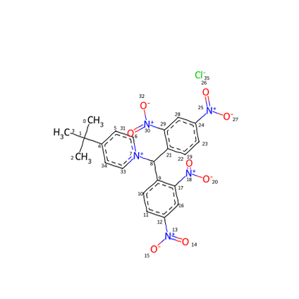 CC(C)(C)c1cc[n+](C(c2ccc([N+](=O)[O-])cc2[N+](=O)[O-])c2ccc([N+](=O)[O-])cc2[N+](=O)[O-])cc1.[Cl-]